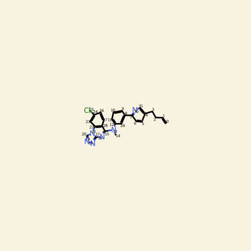 C=CCCc1ccc(-c2cccc(N(C)c3nc4nncn4c4cc(Cl)ccc34)c2)nc1